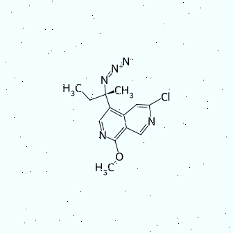 CC[C@](C)(N=[N+]=[N-])c1cnc(OC)c2cnc(Cl)cc12